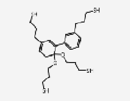 SCCCOC1(OCCCS)CC=C(CCCS)C=C1c1cccc(CCCS)c1